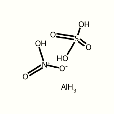 O=S(=O)(O)O.O=[N+]([O-])O.[AlH3]